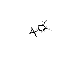 CC1(n2cc(Br)c(F)n2)CC1